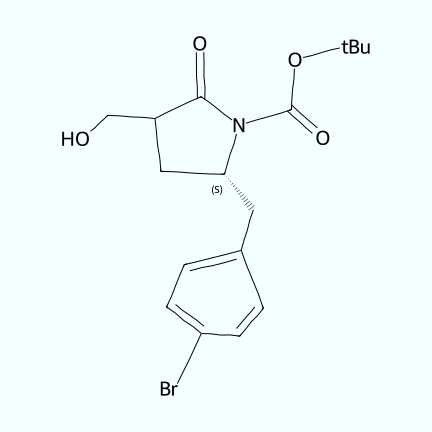 CC(C)(C)OC(=O)N1C(=O)C(CO)C[C@H]1Cc1ccc(Br)cc1